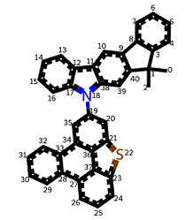 CC1(C)c2ccccc2-c2cc3c4ccccc4n(-c4cc5sc6cccc7c8ccccc8c(c4)c5c67)c3cc21